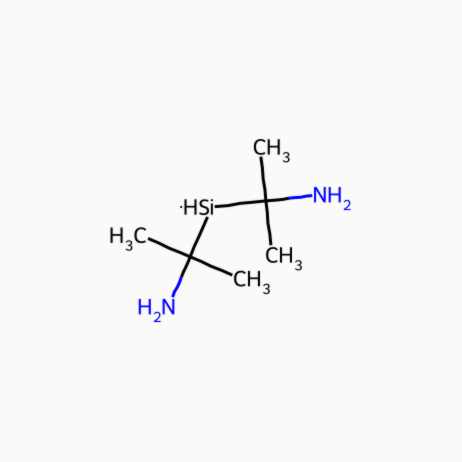 CC(C)(N)[SiH]C(C)(C)N